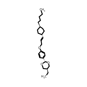 CCCCC[C@H]1CC[C@H](/C=C/COc2ccc([C@H]3OC[C@H](CC)CO3)cc2)CC1